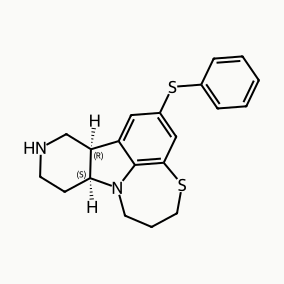 c1ccc(Sc2cc3c4c(c2)[C@@H]2CNCC[C@@H]2N4CCCS3)cc1